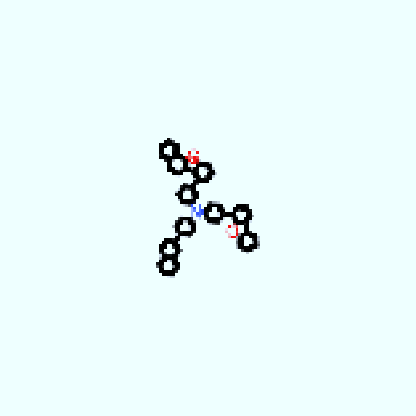 c1cc(-c2cccc3oc4c5ccccc5ccc4c23)cc(N(c2ccc(-c3ccc4ccccc4c3)cc2)c2ccc(-c3cccc4c3oc3ccccc34)cc2)c1